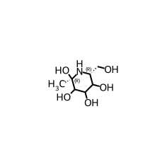 C[C@]1(O)N[C@H](CO)C(O)C(O)C1O